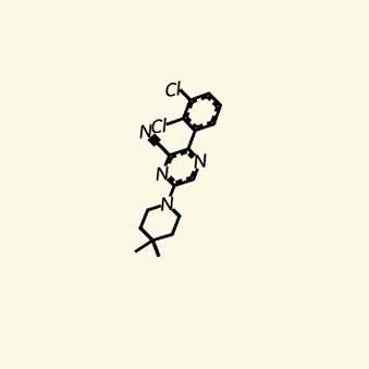 CC1(C)CCN(c2cnc(-c3cccc(Cl)c3Cl)c(C#N)n2)CC1